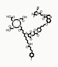 N#C[C@H]1CC(F)(F)CN1C(=O)CNC(=O)c1ccnc2ccc(OCCCC3CCN(C(=O)C(C=O)CN4C(=O)CC(SC(CCCCCNC(=O)CCCc5ccc(I)cc5)CCC(=O)CN5CCN(CC(=O)O)CCN(CC(=O)O)CCN(CC(=O)O)CC5)C4=O)CC3)cc12